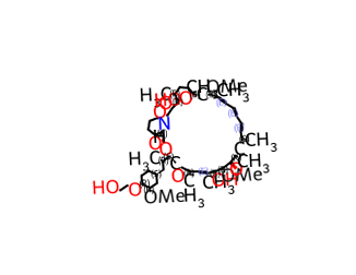 CO[C@H]1C[C@]2(C)CC[C@@H](C)[C@@](O)(O2)C(=O)C(=O)N2CCCC[C@H]2C(=O)O[C@H]([C@H](C)C[C@@H]2CC[C@@H](OCCO)[C@H](OC)C2)CC(=O)[C@H](C)/C=C(\C)[C@@H](O)[C@@H](OC)C(=O)[C@H](C)C[C@H](C)/C=C/C=C/C=C/1C